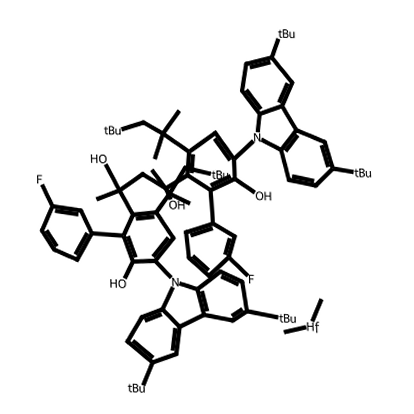 CC(C)(C)CC(C)(C)c1cc(-n2c3ccc(C(C)(C)C)cc3c3cc(C(C)(C)C)ccc32)c(O)c(-c2cccc(F)c2)c1C(O)CC(C)(O)c1c(C(C)(C)CC(C)(C)C)cc(-n2c3ccc(C(C)(C)C)cc3c3cc(C(C)(C)C)ccc32)c(O)c1-c1cccc(F)c1.[CH3][Hf][CH3]